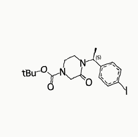 C[C@@H](c1ccc(I)cc1)N1CCN(C(=O)OC(C)(C)C)CC1=O